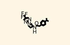 CC(C)c1ccc(CC(=O)N[C@@H]2CCN(c3ncc(C(F)(F)F)cn3)C2)cc1